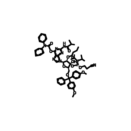 CCCC(=O)O[C@H]1[C@H](n2cnc3c(OC(=O)N(c4ccccc4)c4ccccc4)nc(NC(=O)C(C)C)nc32)O[C@H](COC(c2ccccc2)(c2ccc(OC)cc2)c2ccc(OC)cc2)[C@]1(O)OP(OCCC#N)N(C(C)C)C(C)C